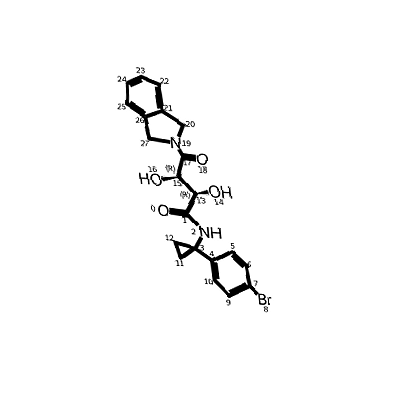 O=C(NC1(c2ccc(Br)cc2)CC1)[C@H](O)[C@@H](O)C(=O)N1Cc2ccccc2C1